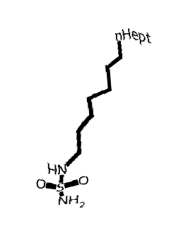 CCCCCCCCCCCCCCNS(N)(=O)=O